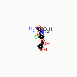 NC(=O)C[C@H](NC(=O)c1ccc(OCC(O)c2cccc(O)c2)cc1Cl)C(=O)O